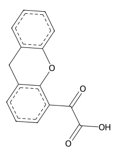 O=C(O)C(=O)c1cccc2c1Oc1ccccc1C2